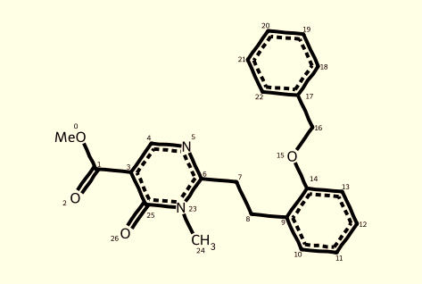 COC(=O)c1cnc(CCc2ccccc2OCc2ccccc2)n(C)c1=O